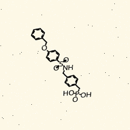 O=P(O)(O)Cc1ccc(CNS(=O)(=O)c2ccc(OCc3ccccc3)cc2)cc1